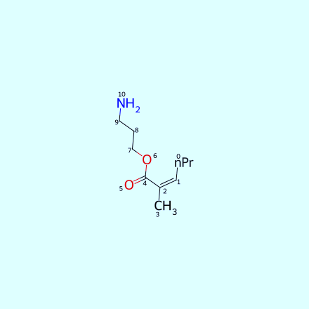 CCCC=C(C)C(=O)OCCCN